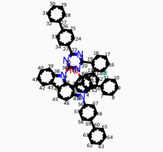 Oc1cccc(-c2ccccc2)c1-c1c(F)cccc1-c1nc(-c2ccc(-c3ccccc3)cc2)nc(-n2c3ccccc3c3ccc4c(c5ccccc5n4-c4ccc(-c5ccccc5)cc4)c32)n1